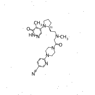 Cc1c(N2CCC[C@H]2CCN(C)CC(=O)N2CCN(c3ccc(C#N)cn3)CC2)cn[nH]c1=O